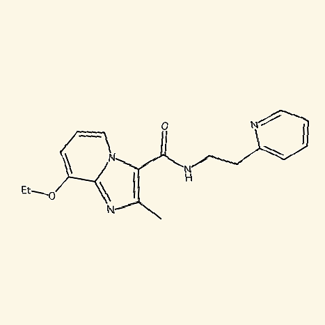 CCOc1cccn2c(C(=O)NCCc3ccccn3)c(C)nc12